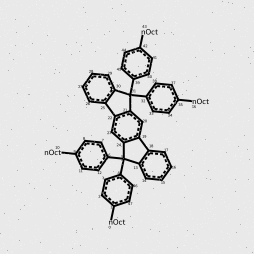 CCCCCCCCc1ccc(C2(c3ccc(CCCCCCCC)cc3)c3ccccc3-c3cc4c(cc32)-c2ccccc2C4(c2ccc(CCCCCCCC)cc2)c2ccc(CCCCCCCC)cc2)cc1